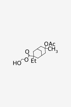 CCC1(C(=O)OCO)CC2CC(CC(C)(OC(C)=O)C2)C1